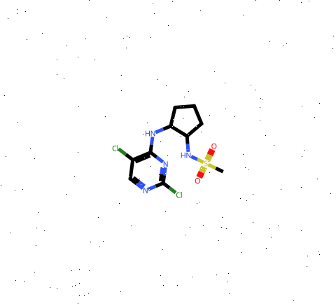 CS(=O)(=O)NC1CCCC1Nc1nc(Cl)ncc1Cl